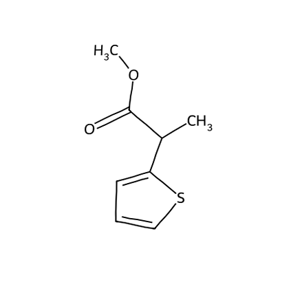 COC(=O)C(C)c1cccs1